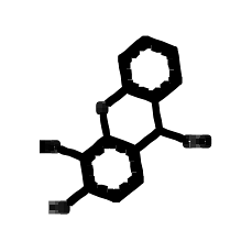 O=CC1c2ccccc2Oc2c1ccc(O)c2O